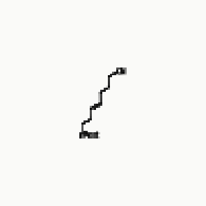 CCCCCCC/C=C/CCCC#N